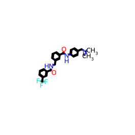 CN(C)Cc1ccc(NC(=O)c2cccc(CNC(=O)c3cccc(C(F)(F)F)c3)c2)cc1